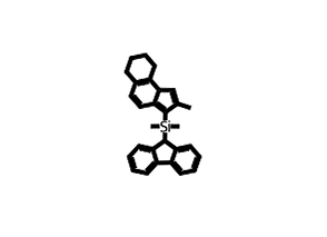 CC1=CC2C(=C1[Si](C)(C)C1c3ccccc3-c3ccccc31)C=CC1=C2CCCC1